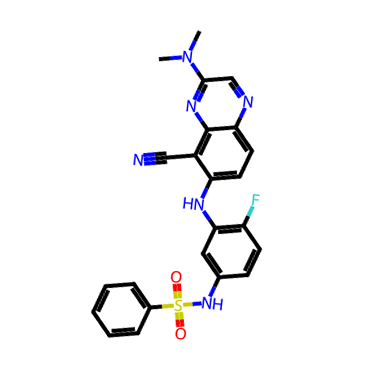 CN(C)c1cnc2ccc(Nc3cc(NS(=O)(=O)c4ccccc4)ccc3F)c(C#N)c2n1